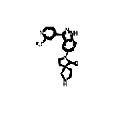 O=C1N(c2ccc3[nH]nc(-c4ccnc(C(F)(F)F)c4)c3c2)CCC12CCNC2